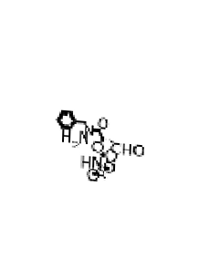 CS(=O)(=O)NC(=O)O[C@@H](CC=O)C(=O)N(N)Cc1ccccc1